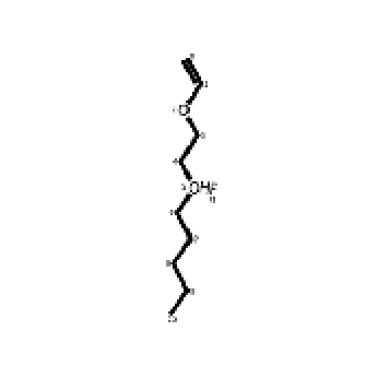 C=COCCOCCCCC.F